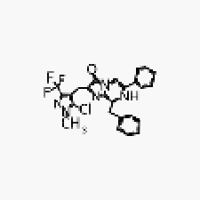 Cn1nc(C(F)(F)F)c(Cc2nc3c(Cc4ccccc4)[nH]c(-c4ccccc4)cn-3c2=O)c1Cl